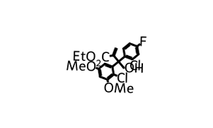 C=C(C(=O)OCC)C(CO)(c1ccc(F)cc1Cl)c1cc(OC)cc(OC)c1Cl